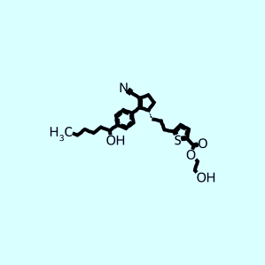 CCCCCC(O)c1ccc(C2=C(C#N)CC[C@@H]2CCCc2ccc(C(=O)OCCO)s2)cc1